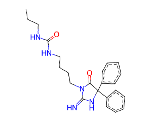 CCCNC(=O)NCCCCN1C(=N)NC(c2ccccc2)(c2ccccc2)C1=O